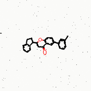 Cc1cccc(-c2ccc3c(c2)C(=O)CC(C2CCc4ccccc42)O3)c1